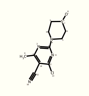 Cc1nc(N2CC[S+]([O-])CC2)nc(Cl)c1C#N